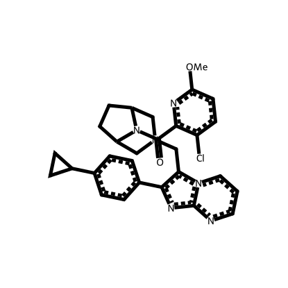 COc1ccc(Cl)c(C(=O)N2C3CCC2CN(Cc2c(-c4ccc(C5CC5)cc4)nc4ncccn24)C3)n1